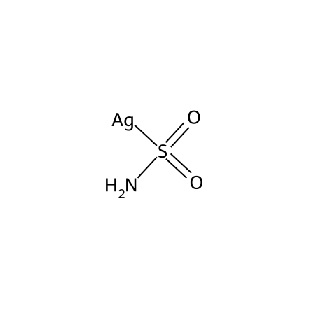 N[S](=O)(=O)[Ag]